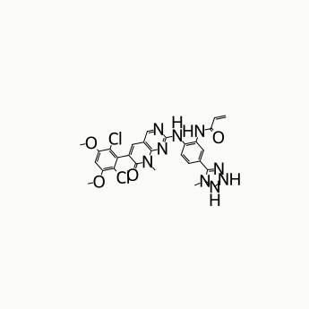 C=CC(=O)Nc1cc(C2=NNNN2C)ccc1Nc1ncc2cc(-c3c(Cl)c(OC)cc(OC)c3Cl)c(=O)n(C)c2n1